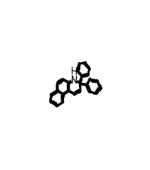 C1=CC(c2ccccc2)(c2ccccc2)Nc2ccc3ccccc3c21